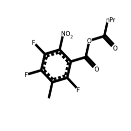 CCCC(=O)OC(=O)c1c(F)c(C)c(F)c(F)c1[N+](=O)[O-]